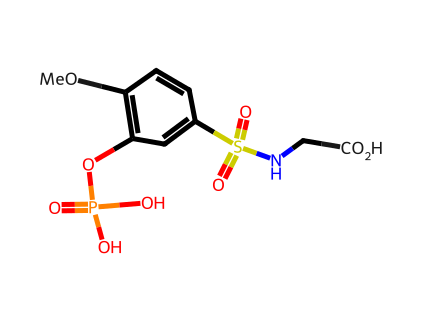 COc1ccc(S(=O)(=O)NCC(=O)O)cc1OP(=O)(O)O